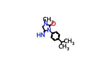 CC(C)c1ccc(N2C(=N)CN(C)C2=O)cc1